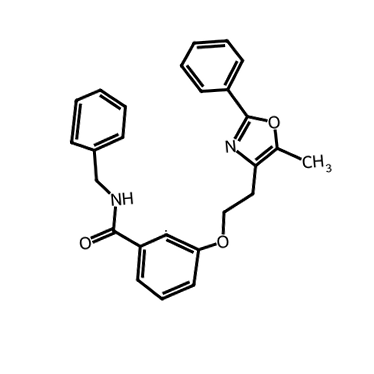 Cc1oc(-c2ccccc2)nc1CCOc1[c]c(C(=O)NCc2ccccc2)ccc1